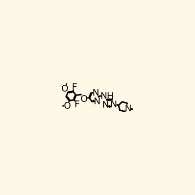 COc1cc(OC)c(F)c(COc2cnc(Nc3cn(C4CCN(C)CC4)cn3)nc2)c1F